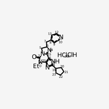 CCN1C(=O)N2CC(Cc3ccncc3)N=C2c2[nH]c(C3CCCC3)nc21.Cl.Cl